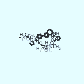 CC(C)(C)OC(=O)N1CCC[C@H]1c1nc2c([nH]1)CCCc1cc(-c3ccc4nc([C@@H]5CCCN5C(=O)OC(C)(C)C)n(COCC[Si](C)(C)C)c4c3)ccc1-2